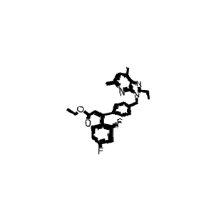 CCOC(=O)C=C(c1ccc(Cn2c(CC)nc3c(C)cc(C)nc32)cc1)c1ccc(F)cc1F